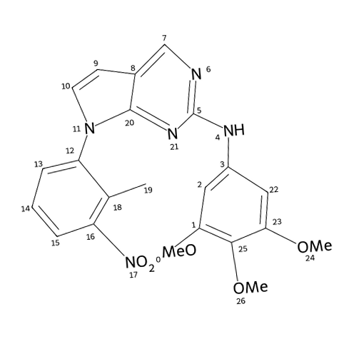 COc1cc(Nc2ncc3ccn(-c4cccc([N+](=O)[O-])c4C)c3n2)cc(OC)c1OC